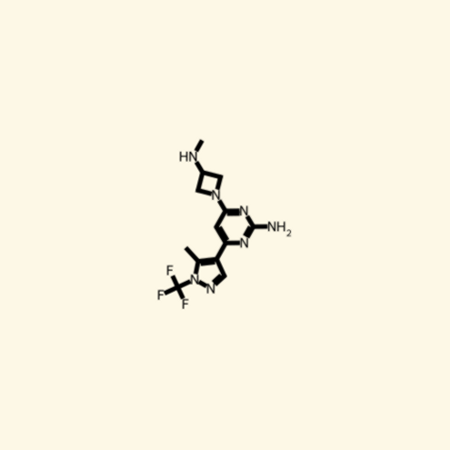 CNC1CN(c2cc(-c3cnn(C(F)(F)F)c3C)nc(N)n2)C1